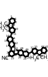 CC1(C)c2ccccc2-c2ccc(-c3ccc4cc5c6cc(C#N)cc7c8cc9ccc(-c%10ccc%11c(c%10)C(C)(C)c%10ccccc%10-%11)cc9cc8n(c5cc4c3)c67)cc21